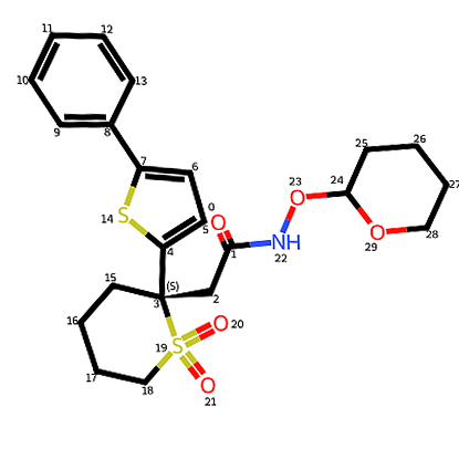 O=C(C[C@]1(c2ccc(-c3ccccc3)s2)CCCCS1(=O)=O)NOC1CCCCO1